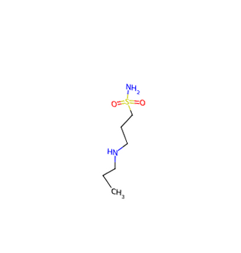 CCCNCCCS(N)(=O)=O